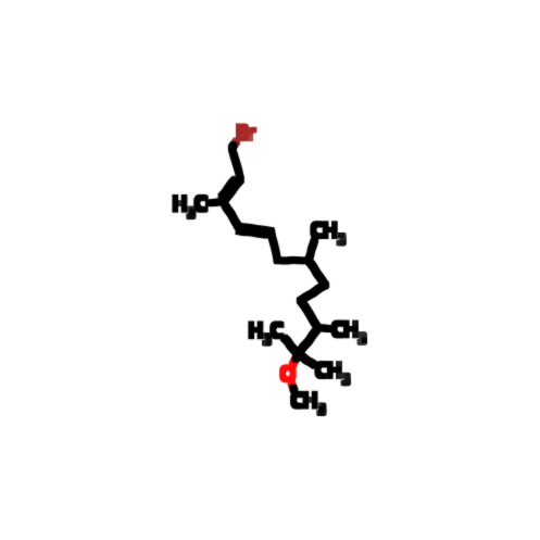 COC(C)(C)C(C)CCC(C)CC=CC(C)=CCBr